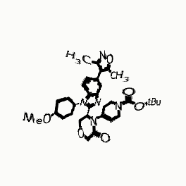 CO[C@H]1CC[C@H](n2c([C@@H]3COCC(=O)N3C3=CCN(C(=O)OC(C)(C)C)CC3)nc3cc(-c4c(C)noc4C)ccc32)CC1